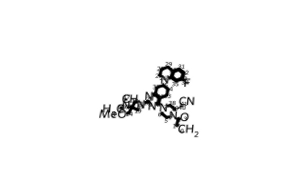 C=CC(=O)N1CCN(c2nc(N3CC(COC)(N(C)C)C3)nc3c2CC[C@@H](N2CCCc4ccc(F)cc42)C3)C[C@@H]1CC#N